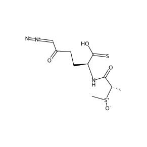 C[C@@H](C(=O)N[C@@H](CCC(=O)C=[N+]=[N-])C(O)=S)[S+](C)[O-]